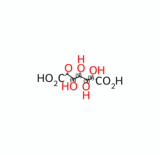 O=C(O)C(=O)[C@H](O)[C@@H](O)[C@H](O)[C@H](O)C(=O)O